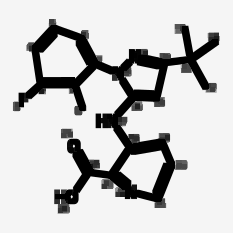 Cc1c(F)cccc1-n1nc(C(C)(C)C)cc1Nc1cccnc1C(=O)O